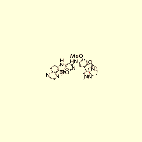 COc1cc(CN2C3CCC2CC(=O)C3)c(-c2cnn(C)c2)cc1Nc1cc(Nc2ccc3nccnc3c2P(C)(C)=O)c(Br)cn1